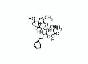 CCOC(=O)[C@H](CCc1ccccc1)N[C@@H](C)C(=O)N1C(=O)N(C)C[C@H]1C(=O)O.NCC(=O)O